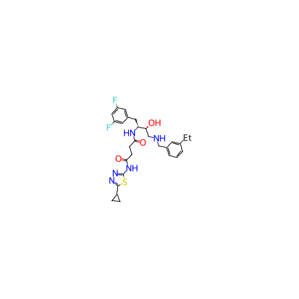 CCc1cccc(CNC[C@H](O)[C@H](Cc2cc(F)cc(F)c2)NC(=O)CCC(=O)Nc2nnc(C3CC3)s2)c1